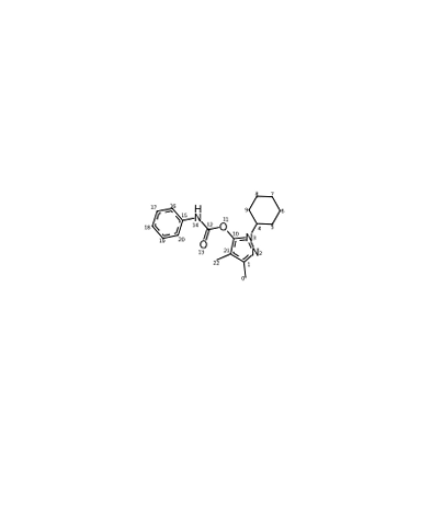 Cc1nn(C2CCCCC2)c(OC(=O)Nc2ccccc2)c1C